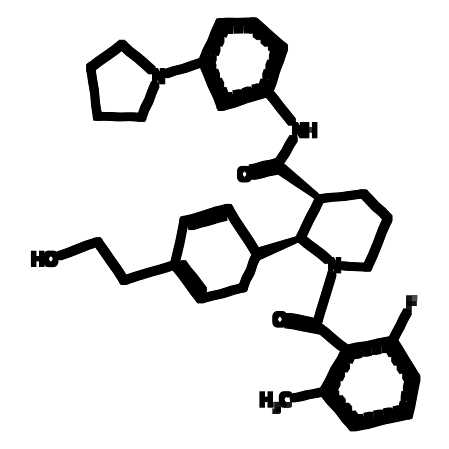 Cc1cccc(F)c1C(=O)N1CCC[C@H](C(=O)Nc2cccc(N3CCCC3)c2)[C@@H]1C1C=CC(CCO)=CC1